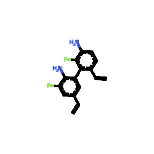 C=Cc1cc(F)c(N)c(-c2c(C=C)ccc(N)c2F)c1